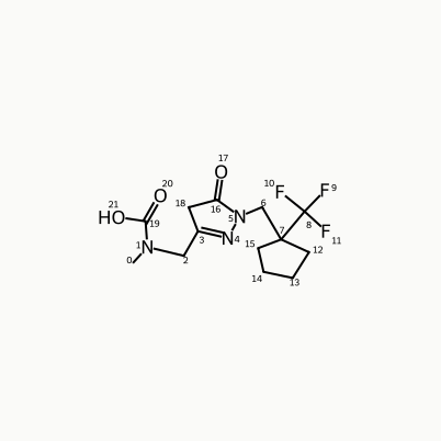 CN(CC1=NN(CC2(C(F)(F)F)CCCC2)C(=O)C1)C(=O)O